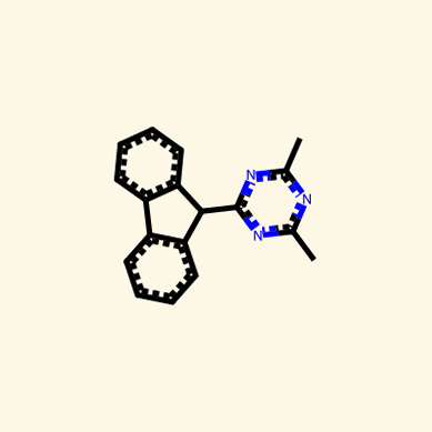 Cc1nc(C)nc(C2c3ccccc3-c3ccccc32)n1